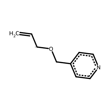 C=C[CH]OCc1ccncc1